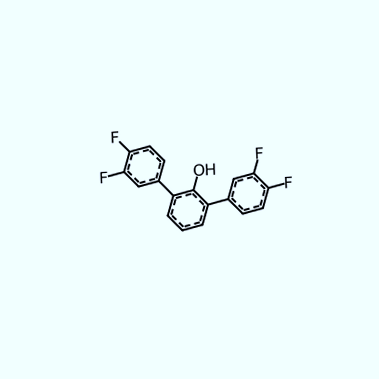 Oc1c(-c2ccc(F)c(F)c2)cccc1-c1ccc(F)c(F)c1